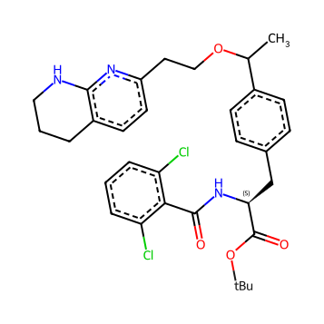 CC(OCCc1ccc2c(n1)NCCC2)c1ccc(C[C@H](NC(=O)c2c(Cl)cccc2Cl)C(=O)OC(C)(C)C)cc1